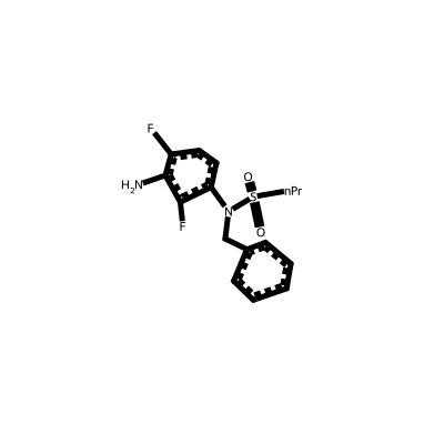 CCCS(=O)(=O)N(Cc1ccccc1)c1ccc(F)c(N)c1F